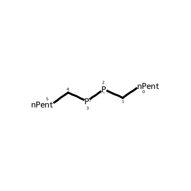 CCCCCC[P][P]CCCCCC